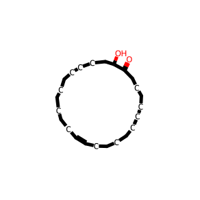 O=C1CCCCCCCCCCC=CCCCCCCCCCCC1O